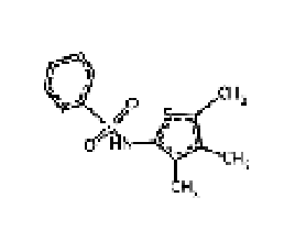 Cc1sc(NS(=O)(=O)c2ccccc2)c(C)c1C